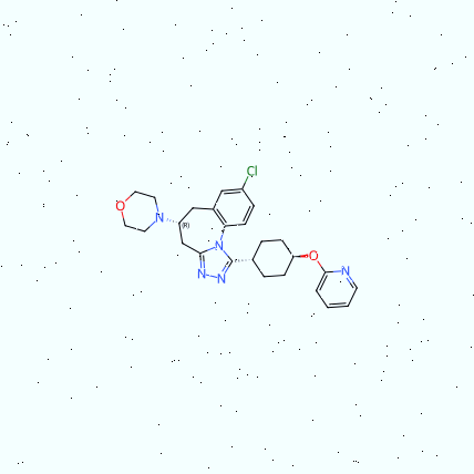 Clc1ccc2c(c1)C[C@@H](N1CCOCC1)Cc1nnc([C@H]3CC[C@H](Oc4ccccn4)CC3)n1-2